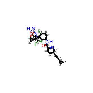 NC1=N[C@@](c2cc(NC(=O)c3ccc(C#CC4CC4)cn3)ccc2F)(C(F)F)C2C[C@H]2O1